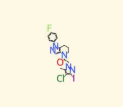 Cc1c(Cl)c(I)nn1CC(=O)N1CCCc2c1cnn2-c1ccc(F)cc1